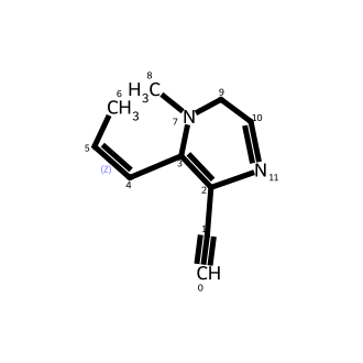 C#CC1=C(/C=C\C)N(C)CC=N1